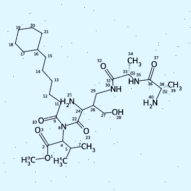 COC(=O)C(C(C)C)N(C(=O)CCCCCC1CCCCC1)C(=O)C(N)C(CO)CNC(=O)[C@H](C)NC(=O)[C@H](C)N